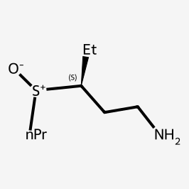 CCC[S+]([O-])[C@@H](CC)CCN